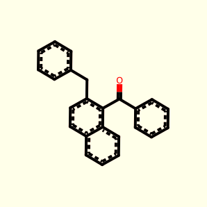 O=C(c1ccccc1)c1c(Cc2ccccc2)ccc2ccccc12